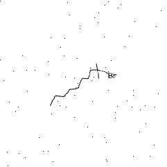 CCCCCCCCC(C)(C)CBr